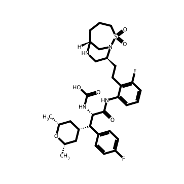 C[C@@H]1C[C@H](C(c2ccc(F)cc2)[C@H](NC(=O)O)C(=O)Nc2cccc(F)c2CC[C@H]2CN[C@@H]3CCCS(=O)(=O)N2C3)C[C@H](C)O1